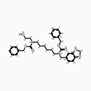 O=C(OCc1ccccc1)N(CCO)CCCCCCN(Cc1ccc2c(c1)OCO2)C(=O)OCc1ccccc1